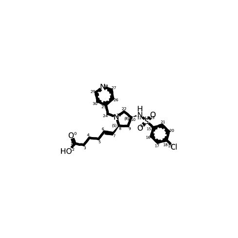 O=C(O)CCCC=C[C@@H]1C[C@@H](NS(=O)(=O)c2ccc(Cl)cc2)CN1Cc1ccncc1